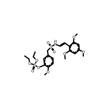 CCOP(=O)(OCC)Oc1cc(CS(=O)(=O)NC=Cc2c(OC)cc(OC)cc2OC)ccc1OC